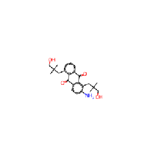 CC(C)(CO)Cc1cccc2c1C(=O)c1ccc(N)c(CC(C)(C)CO)c1C2=O